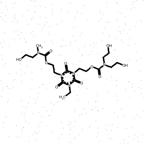 CCn1c(=O)n(CCOC(=O)N(C)CCO)c(=O)n(CCOC(=O)N(CCO)CCO)c1=O